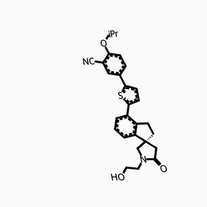 CC(C)Oc1ccc(-c2ccc(-c3cccc4c3CC[C@@]43CC(=O)N(CCO)C3)s2)cc1C#N